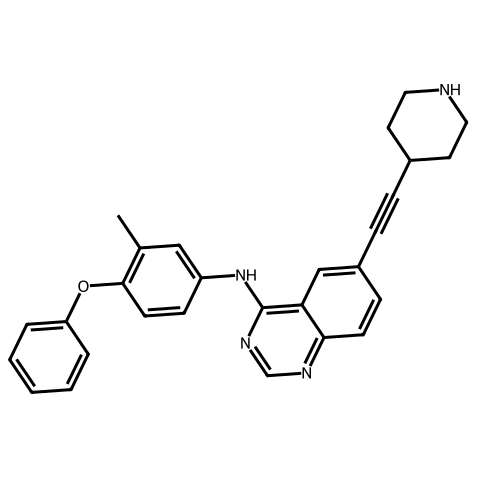 Cc1cc(Nc2ncnc3ccc(C#CC4CCNCC4)cc23)ccc1Oc1ccccc1